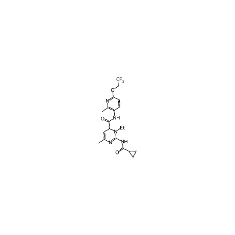 CCN1C(NC(=O)C2CC2)=NC(C)=CC1C(=O)Nc1ccc(OCC(F)(F)F)nc1C